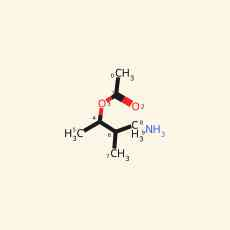 CC(=O)OC(C)C(C)C.N